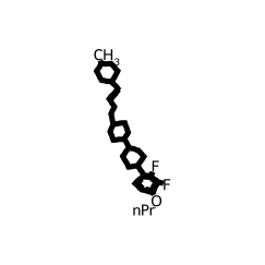 CCCOc1ccc(C2CCC(C3CCC(CC/C=C/C4CCC(C)CC4)CC3)CC2)c(F)c1F